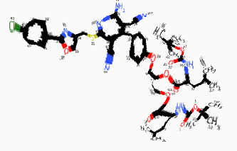 CC(C)C[C@H](NC(=O)OC(C)(C)C)C(=O)OC[C@H](COc1ccc(-c2c(C#N)c(N)nc(SCc3coc(-c4ccc(Cl)cc4)n3)c2C#N)cc1)OC(=O)[C@H](CC(C)C)NC(=O)OC(C)(C)C